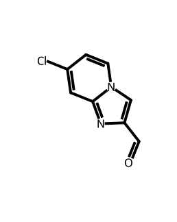 O=Cc1cn2ccc(Cl)cc2n1